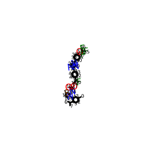 Cc1ccc(C(C)C)c(-n2ccs/c2=N\C(=O)OCC(F)c2ccc(-c3ncn(-c4ccc(OC(F)(F)F)cc4)n3)cc2)c1